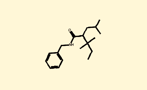 CCC(C)(C)C(CC(C)C)C(=O)NCc1ccccc1